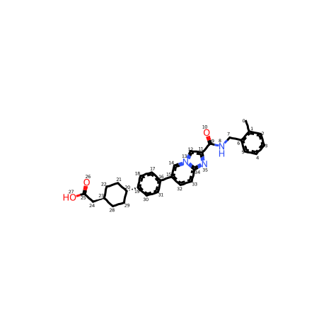 Cc1ccccc1CNC(=O)c1cn2cc(-c3ccc([C@H]4CC[C@H](CC(=O)O)CC4)cc3)ccc2n1